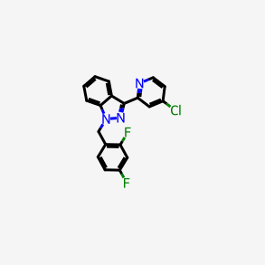 Fc1ccc(Cn2nc(-c3cc(Cl)ccn3)c3ccccc32)c(F)c1